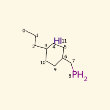 CCCC1CCC(CP)CC1.I